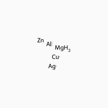 [Ag].[Al].[Cu].[MgH2].[Zn]